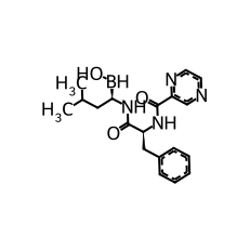 CC(C)C[C@@H](BO)NC(=O)[C@H](Cc1ccccc1)NC(=O)c1cnccn1